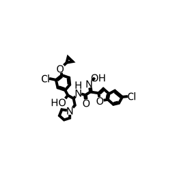 O=C(NC(CN1CCCC1)C(O)c1ccc(OC2CC2)c(Cl)c1)/C(=N/O)c1cc2cc(Cl)ccc2o1